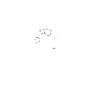 CC(C)NC(=O)O[C@@H]1CC[C@H](c2cnc3[nH]cc(-c4ccn(C)n4)c3c2)C1